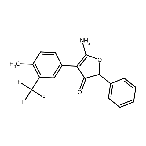 Cc1ccc(C2=C(N)OC(c3ccccc3)C2=O)cc1C(F)(F)F